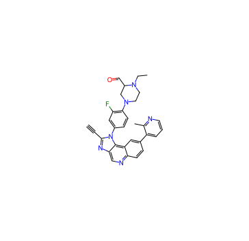 C#Cc1nc2cnc3ccc(-c4cccnc4C)cc3c2n1-c1ccc(N2CCN(CC)C(C=O)C2)c(F)c1